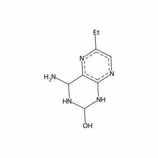 CCc1cnc2c(n1)C(N)NC(O)N2